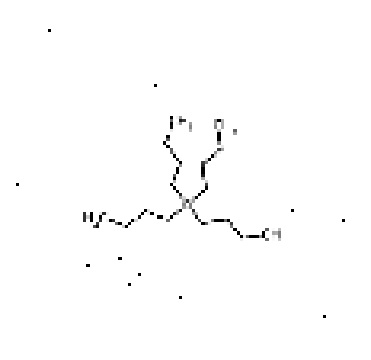 CCC[CH2][Zr]([CH2]CCC)([CH2]CCC)[CH2]CCC